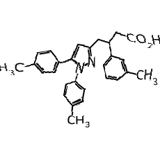 Cc1ccc(-c2cc(CC(CC(=O)O)c3cccc(C)c3)nn2-c2ccc(C)cc2)cc1